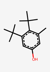 Cc1cc(O)cc(C(C)(C)C)c1C(C)(C)C